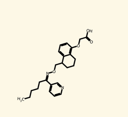 CCCCCC(=NOCC1CCCc2c(OCC(=O)O)cccc21)c1cccnc1